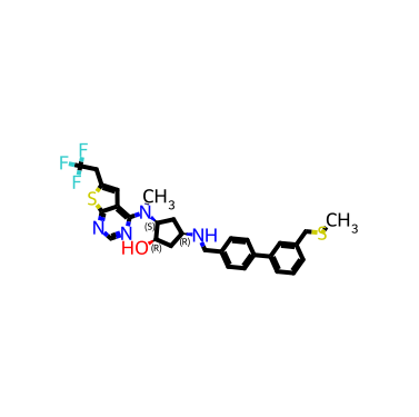 CSCc1cccc(-c2ccc(CN[C@H]3C[C@@H](O)[C@@H](N(C)c4ncnc5sc(CC(F)(F)F)cc45)C3)cc2)c1